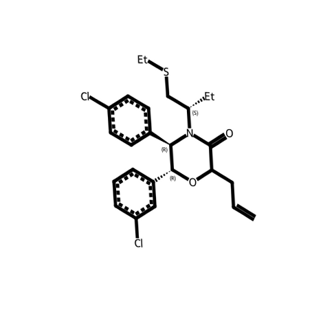 C=CCC1O[C@H](c2cccc(Cl)c2)[C@@H](c2ccc(Cl)cc2)N([C@@H](CC)CSCC)C1=O